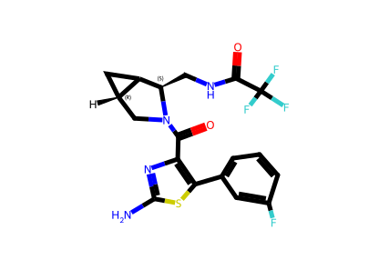 Nc1nc(C(=O)N2C[C@@H]3CC3[C@H]2CNC(=O)C(F)(F)F)c(-c2cccc(F)c2)s1